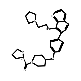 O=C([C@H]1CCCO1)N1CCC(Oc2ccc(-c3ccc4cccnc4c3NCCN3CCCC3)cc2)CC1